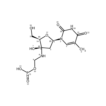 Cc1cn([C@H]2C[C@](O)(NCO[PH](=O)O)[C@@H](CO)O2)c(=O)[nH]c1=O